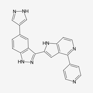 c1cc(-c2nccc3[nH]c(-c4n[nH]c5ccc(-c6cn[nH]c6)cc45)cc23)ccn1